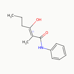 CCC/C(O)=C(\C)C(=O)Nc1ccccc1